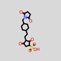 O=C1CC(S(=O)(=O)O)C(=O)C1CCC1CCC(CN2C(=O)CCC2=O)CC1